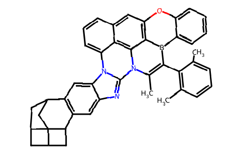 CC1=C(c2c(C)cccc2C)B2c3ccccc3Oc3cc4cccc5c4c(c32)n1c1nc2cc3c(cc2n51)C1CC2CC4CC3C24C1